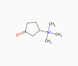 C[N+](C)(C)C1CCC(=O)C1